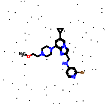 COCCN1CCN(c2cc(C3CC3)cn3cc(CNc4ccnc(Br)c4)nc23)CC1